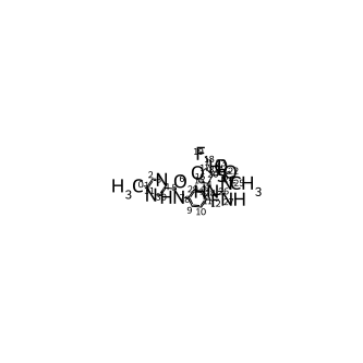 Cc1cnc(C(=O)Nc2ccc(F)c([C@]34CO[C@@H](CF)[C@H]3S(=O)(=O)N(C)C(=N)N4)c2)cn1